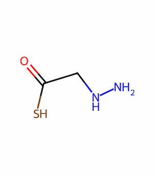 NNCC(=O)S